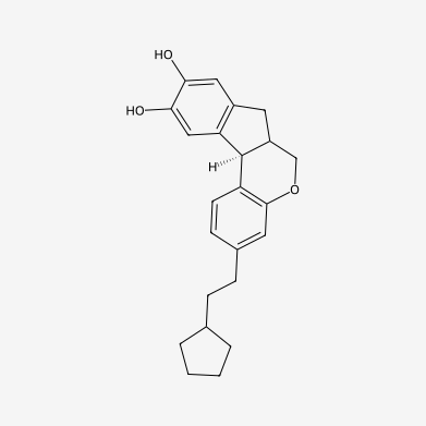 Oc1cc2c(cc1O)[C@@H]1c3ccc(CCC4CCCC4)cc3OCC1C2